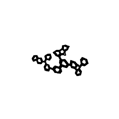 c1ccc(N(c2cccc(-c3cccc(-c4cc(-c5ccc6c(c5)c5ccccc5n6-c5ccccc5)cc(-c5cccc6c5oc5ccccc56)c4)c3)c2)c2ccc3ccccc3c2)cc1